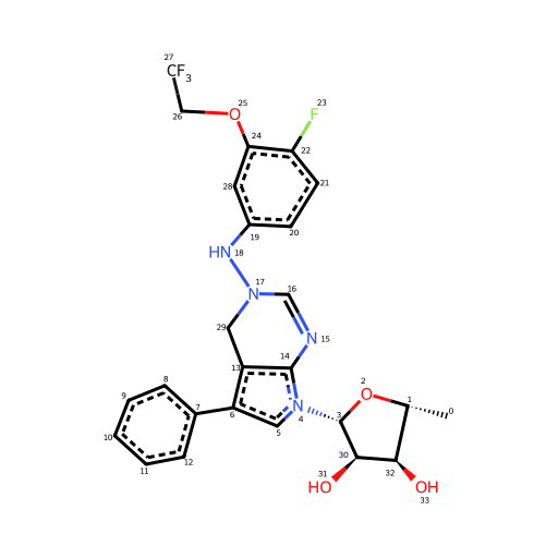 C[C@H]1O[C@@H](n2cc(-c3ccccc3)c3c2N=CN(Nc2ccc(F)c(OCC(F)(F)F)c2)C3)[C@H](O)[C@@H]1O